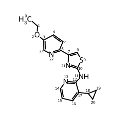 CCOc1ccc(-c2csc(Nc3ncccc3C3CC3)n2)nc1